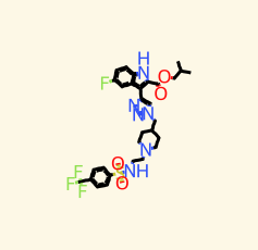 CC(C)COC(=O)c1[nH]c2ccc(F)cc2c1-c1cn(CC2CCN(CCNS(=O)(=O)c3ccc(C(F)(F)F)cc3)CC2)nn1